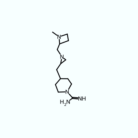 CN1CCC1CN1CC1CC1CCN(C(=N)N)CC1